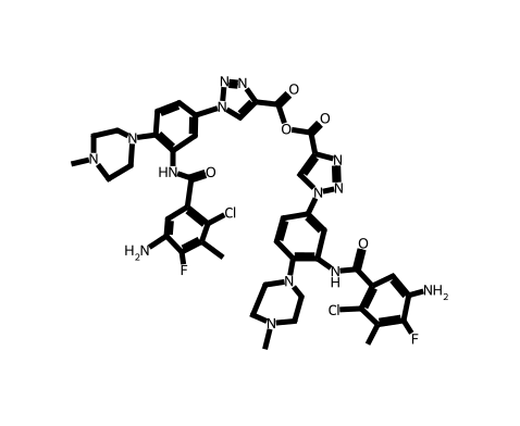 Cc1c(F)c(N)cc(C(=O)Nc2cc(-n3cc(C(=O)OC(=O)c4cn(-c5ccc(N6CCN(C)CC6)c(NC(=O)c6cc(N)c(F)c(C)c6Cl)c5)nn4)nn3)ccc2N2CCN(C)CC2)c1Cl